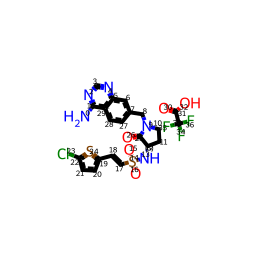 Nc1ncnc2cc(CN3CC[C@H](NS(=O)(=O)C=Cc4ccc(Cl)s4)C3=O)ccc12.O=C(O)C(F)(F)F